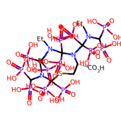 CCN(C(P(=O)(O)O)P(=O)(O)O)C(SC[C@@H](C(=O)O)N(C(N(CC)C(P(=O)(O)O)P(=O)(O)O)(P(=O)(O)O)P(=O)(O)O)C(N(CC)C(P(=O)(O)O)P(=O)(O)O)(P(=O)(O)O)P(=O)(O)O)(P(=O)(O)O)P(=O)(O)O